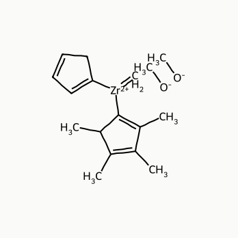 C[O-].C[O-].[CH2]=[Zr+2]([C]1=CC=CC1)[C]1=C(C)C(C)=C(C)C1C